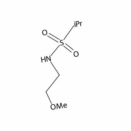 COCCNS(=O)(=O)C(C)C